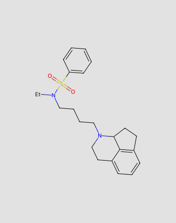 CCN(CCCCN1CCc2cccc3c2C1CC3)S(=O)(=O)c1ccccc1